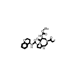 CC(C)(C)OC(=O)N[C@H]1CN(C(=O)CF)CC[C@H]2CC[C@@H](C(=O)N[C@@H]3CCOc4ccccc43)N2C1=O